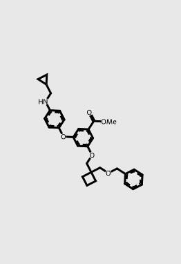 COC(=O)c1cc(OCC2(COCc3ccccc3)CCC2)cc(Oc2ccc(NCC3CC3)cc2)c1